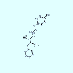 N[C@@H](Cc1ccccc1)[C@H](O)CNCCc1ccc(F)cc1